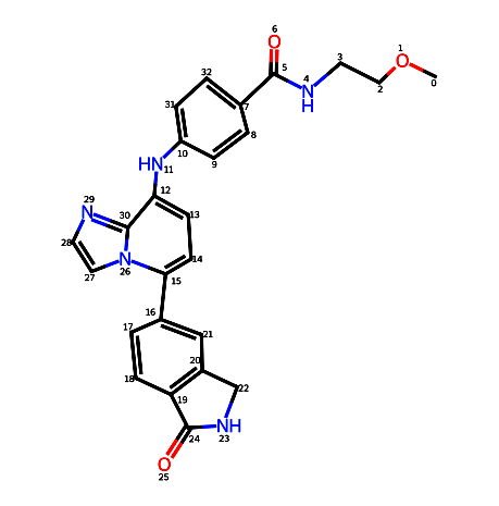 COCCNC(=O)c1ccc(Nc2ccc(-c3ccc4c(c3)CNC4=O)n3ccnc23)cc1